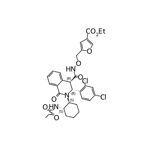 CCOC(=O)c1coc(CONC(=O)[C@@H]2c3ccccc3C(=O)N([C@H]3CCCC[C@@H]3NS(C)(=O)=O)[C@H]2c2ccc(Cl)cc2Cl)c1